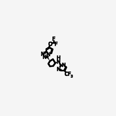 FC(F)Oc1ccn2c([C@H]3CCC[C@@H](Nc4ncc(C(F)(F)F)cn4)C3)nnc2c1